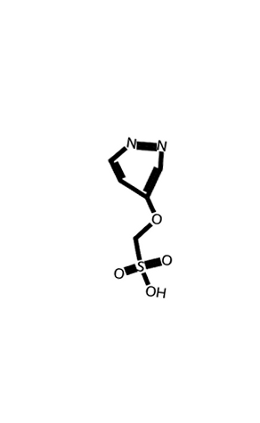 O=S(=O)(O)COc1ccnnc1